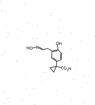 O=C(O)C1(c2ccc(O)c(CC=NO)c2)CC1